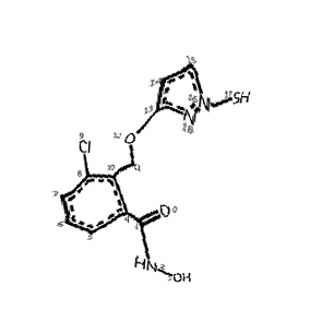 O=C(NO)c1cccc(Cl)c1COc1ccn(S)n1